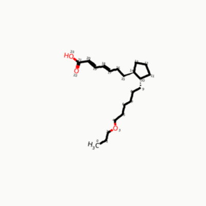 CCCOCCCCCC[C@H]1CCC[C@@H]1CCC=CC=CC(=O)O